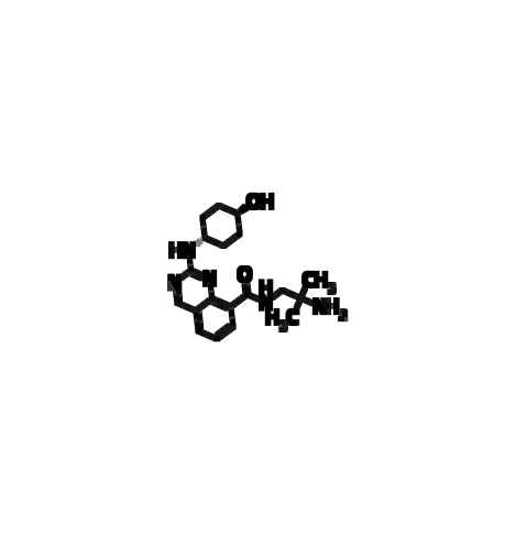 CC(C)(N)CNC(=O)c1cccc2cnc(N[C@H]3CC[C@H](O)CC3)nc12